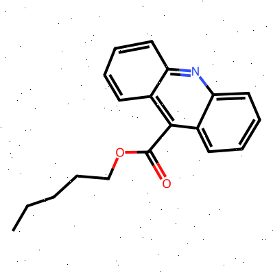 CCCCCOC(=O)c1c2ccccc2nc2ccccc12